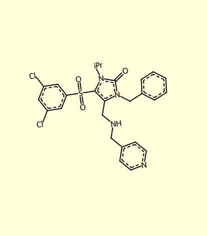 CC(C)n1c(S(=O)(=O)c2cc(Cl)cc(Cl)c2)c(CNCc2ccncc2)n(Cc2ccccc2)c1=O